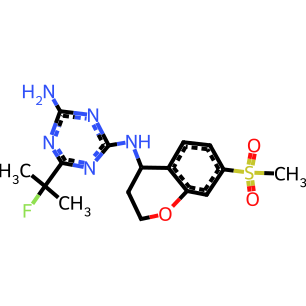 CC(C)(F)c1nc(N)nc(NC2CCOc3cc(S(C)(=O)=O)ccc32)n1